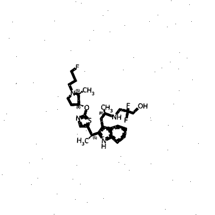 C[C@H](c1cnc(O[C@@H]2CCN(CCCF)[C@H]2C)s1)c1[nH]c2ccccc2c1C[C@@H](C)NCC(F)(F)CO